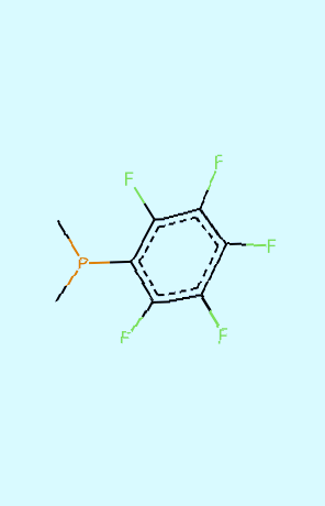 CP(C)c1c(F)c(F)c(F)c(F)c1F